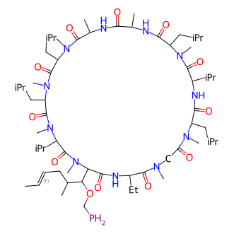 C/C=C/CC(C)C(OCP)C1C(=O)NC(CC)C(=O)N(C)CC(=O)N(C)C(CC(C)C)C(=O)NC(C(C)C)C(=O)N(C)C(CC(C)C)C(=O)NC(C)C(=O)NC(C)C(=O)N(C)C(CC(C)C)C(=O)N(C)C(CC(C)C)C(=O)N(C)C(C(C)C)C(=O)N1C